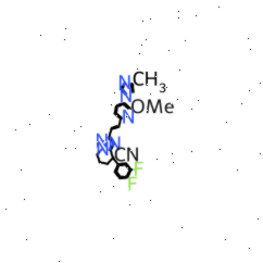 COc1nc(/C=C/c2nc3n(n2)CCC[C@@]3(C#N)c2ccc(F)c(F)c2)ccc1-n1cnc(C)c1